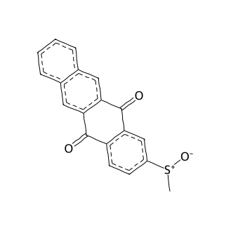 C[S+]([O-])c1ccc2c(c1)C(=O)c1cc3ccccc3cc1C2=O